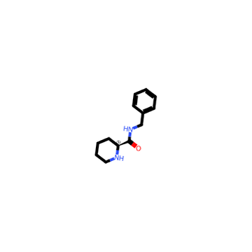 O=C(NCc1ccccc1)[C@@H]1CCCCN1